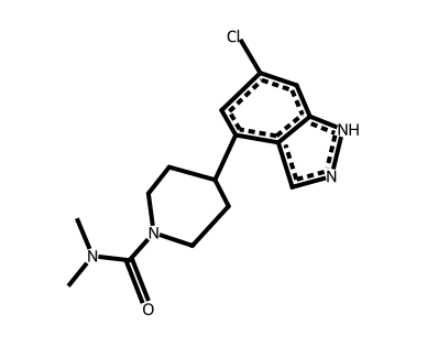 CN(C)C(=O)N1CCC(c2cc(Cl)cc3[nH]ncc23)CC1